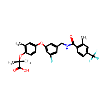 Cc1cc(Oc2cc(F)cc(CNC(=O)c3ccc(C(F)(F)F)cc3C)c2)ccc1OC(C)(C)C(=O)O